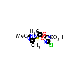 COc1cnc2c(-c3nc4c(C)cc5c(c4s3)OCC(CN(C(=O)O)c3cncc(Cl)c3)O5)cc(C)cc2n1